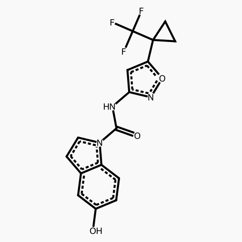 O=C(Nc1cc(C2(C(F)(F)F)CC2)on1)n1ccc2cc(O)ccc21